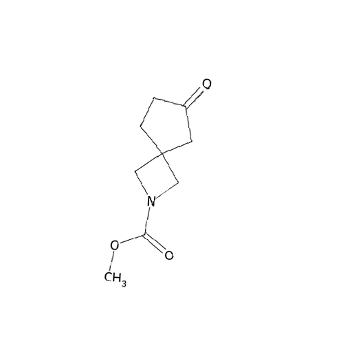 COC(=O)N1CC2(CCC(=O)C2)C1